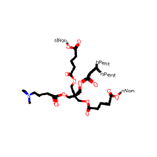 CCCCCCCCCOC(=O)CCCC(=O)OCC(COC(=O)CCCC(=O)OCCCCCCCCC)(COC(=O)CCCN(C)C)COC(=O)CC(CCCCC)CCCCC